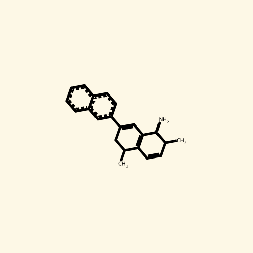 CC1CC(c2ccc3ccccc3c2)=CC2=C1C=CC(C)C2N